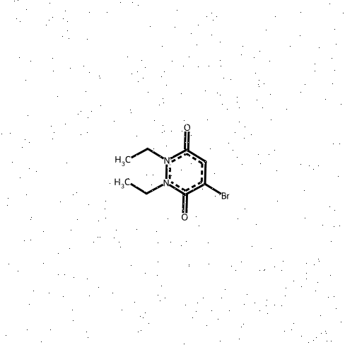 CCn1c(=O)cc(Br)c(=O)n1CC